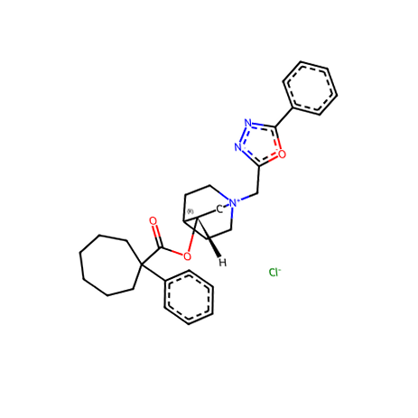 O=C(O[C@H]1C[N+]2(Cc3nnc(-c4ccccc4)o3)CCC1CC2)C1(c2ccccc2)CCCCCC1.[Cl-]